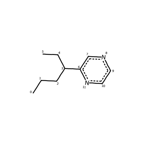 CCCC(CC)c1cnccn1